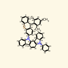 Cc1cc(C)c(B2c3ccccc3Sc3cc(-n4c5ccccc5c5ccc6c(c7ccccc7n6-c6ccccc6)c54)ccc32)c(C)c1